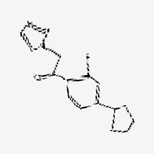 O=C(Cn1ccnc1)c1ccc(C2CCCC2)cc1F